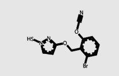 N#COc1cccc(Br)c1COc1ccn(S)n1